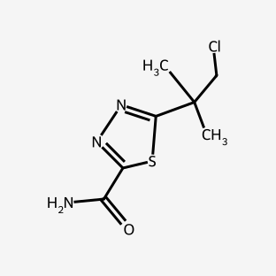 CC(C)(CCl)c1nnc(C(N)=O)s1